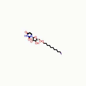 O=c1ccn([C@@H]2O[C@H](COOCCCCCCCCCCI)[C@@H](O)[C@H]2O)c(=O)[nH]1